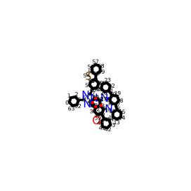 c1ccc(-c2nc(-c3cc(-n4c5ccccc5c5ccc6c7ccccc7n(-c7ccccc7)c6c54)c4c(c3)oc3ccccc34)nc(-c3ccc4c(c3)sc3ccccc34)n2)cc1